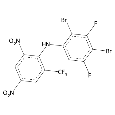 O=[N+]([O-])c1cc([N+](=O)[O-])c(Nc2cc(F)c(Br)c(F)c2Br)c(C(F)(F)F)c1